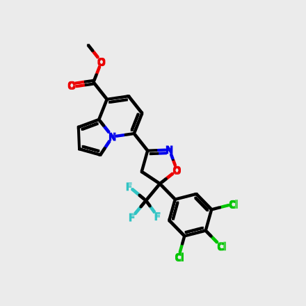 COC(=O)c1ccc(C2=NOC(c3cc(Cl)c(Cl)c(Cl)c3)(C(F)(F)F)C2)n2cccc12